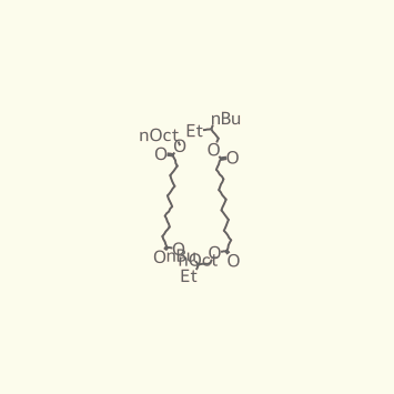 CCCCC(CC)COC(=O)CCCCCCCCC(=O)OCC(CC)CCCC.CCCCCCCCOC(=O)CCCCCCCCC(=O)OCCCCCCCC